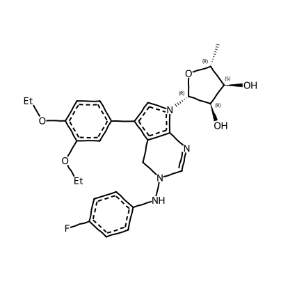 CCOc1ccc(-c2cn([C@@H]3O[C@H](C)[C@@H](O)[C@H]3O)c3c2CN(Nc2ccc(F)cc2)C=N3)cc1OCC